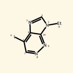 CCn1cnc2c(I)cnnc21